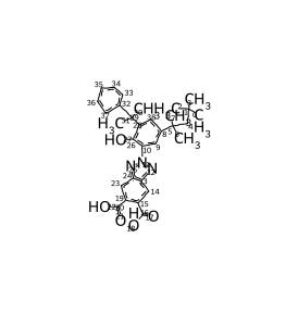 CC(C)(C)CC(C)(C)c1cc(-n2nc3cc(C(=O)O)c(C(=O)O)cc3n2)c(O)c(C(C)(C)c2ccccc2)c1